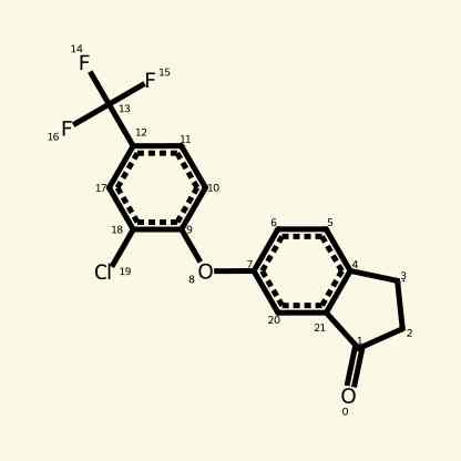 O=C1C[CH]c2ccc(Oc3ccc(C(F)(F)F)cc3Cl)cc21